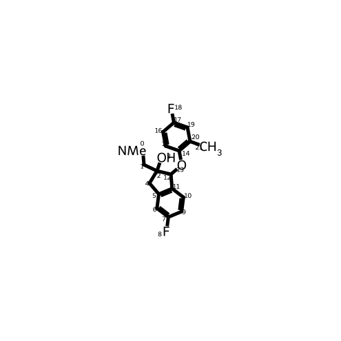 CNCC1(O)Cc2cc(F)ccc2C1Oc1ccc(F)cc1C